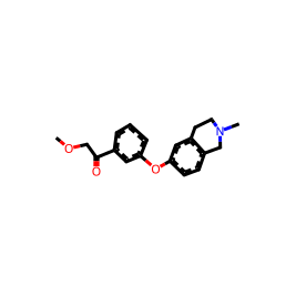 COCC(=O)c1cccc(Oc2ccc3c(c2)CCN(C)C3)c1